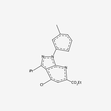 CCOC(=O)c1cc(Cl)c2c(C(C)C)nn(-c3cccc(C)c3)c2n1